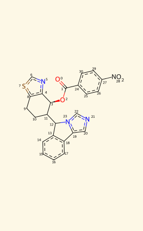 O=C(O[C@@H]1c2ncsc2CCC1C1c2ccccc2-c2cncn21)c1ccc([N+](=O)[O-])cc1